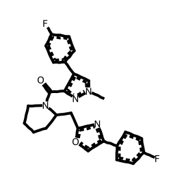 Cn1cc(-c2ccc(F)cc2)c(C(=O)N2CCCCC2Cc2nc(-c3ccc(F)cc3)co2)n1